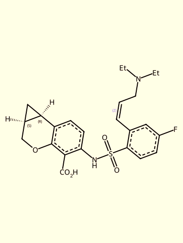 CCN(CC)C/C=C\c1cc(F)ccc1S(=O)(=O)Nc1ccc2c(c1C(=O)O)OC[C@H]1C[C@@H]21